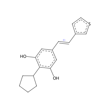 Oc1cc(/C=C/c2ccsc2)cc(O)c1C1CCCC1